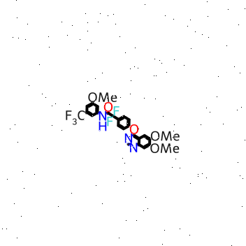 COc1cc(NC(=O)C(F)(F)c2ccc(Oc3ncnc4cc(OC)c(OC)cc34)cc2)cc(C(F)(F)F)c1